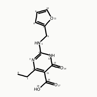 CCc1nc(NCc2ccco2)[nH]c(=O)c1C(=O)O